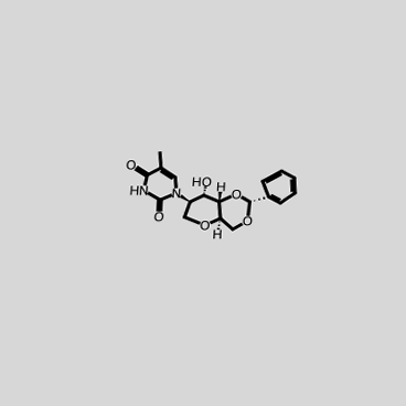 Cc1cn([C@@H]2CO[C@@H]3CO[C@@H](c4ccccc4)O[C@H]3[C@H]2O)c(=O)[nH]c1=O